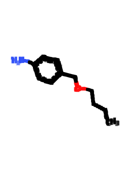 CCCCOCc1ccc(N)cc1